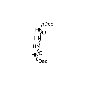 CCCCCCCCCCCCNC(=O)CCNCCCNCCC(=O)NCCCCCCCCCCCC